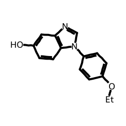 CCOc1ccc(-n2cnc3cc(O)ccc32)cc1